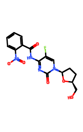 O=C(Nc1nc(=O)n([C@H]2CC[C@@H](CO)O2)cc1F)c1ccccc1[N+](=O)[O-]